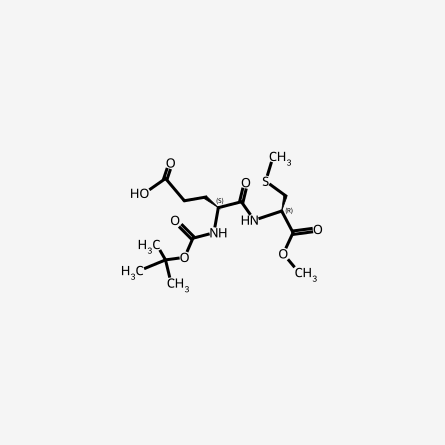 COC(=O)[C@H](CSC)NC(=O)[C@H](CCC(=O)O)NC(=O)OC(C)(C)C